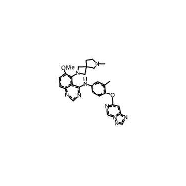 COc1ccc2ncnc(Nc3ccc(Oc4cc5ncnn5cn4)c(C)c3)c2c1N1CC2(CCN(C)C2)C1